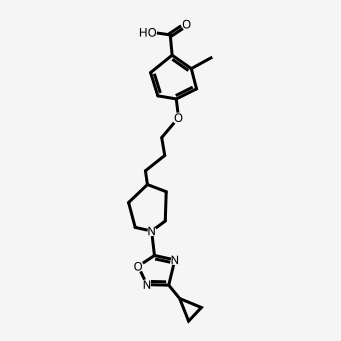 Cc1cc(OCCCC2CCN(c3nc(C4CC4)no3)CC2)ccc1C(=O)O